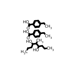 CCCC(O)C(C)C(O)CCC.CCc1ccc(C(=O)O)cc1.CCc1ccc(C(=O)O)cc1